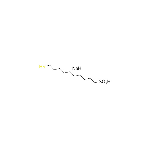 O=S(=O)(O)CCCCCCCCCCS.[NaH]